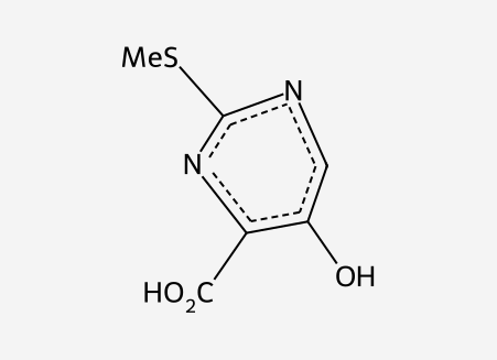 CSc1ncc(O)c(C(=O)O)n1